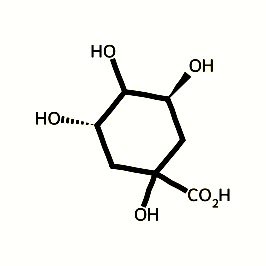 O=C(O)C1(O)C[C@H](O)C(O)[C@@H](O)C1